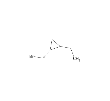 CCC1C[C@H]1CBr